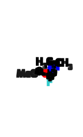 COc1cccc(COc2cc(F)cc3ccc(-c4nc(C)cc(C)n4)nc23)c1